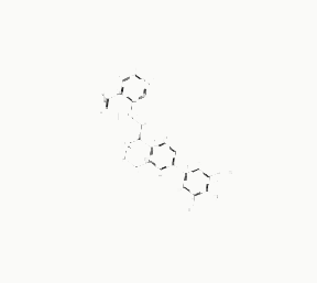 O=C(O)c1ccncc1NCC1NCCc2cc(-c3cc(F)c(Cl)c(F)c3)ccc21